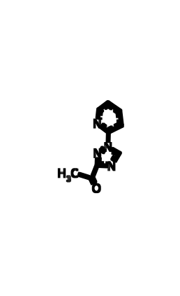 CC(=O)c1ncn(-c2ccccn2)n1